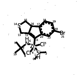 C[SiH](C)[Zr]([Cl])([Cl])([NH]C(C)(C)C)[C]1=C2CSCC2c2ccc(Br)cc21